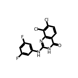 O=c1[nH]c(Nc2cc(F)cc(F)c2)nc2c(Cl)c(Cl)ccc12